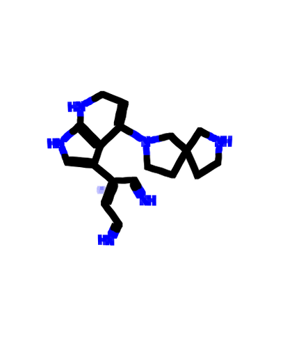 N=C/C=C(\C=N)c1c[nH]c2c1C(N1CCC3(CCNC3)C1)=CCN2